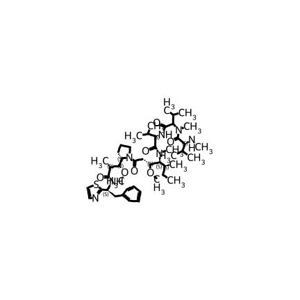 CC[C@H](C)[C@@H]([C@@H](CC(=O)N1CCC[C@H]1[C@H](OC)[C@@H](C)C(=O)N[C@@H](Cc1ccccc1)c1nccs1)OC)N(C)C(=O)[C@@H](NC(=O)C(C(C)C)N(C)C(=O)[C@@H](NC)C(C)C)C(C)C